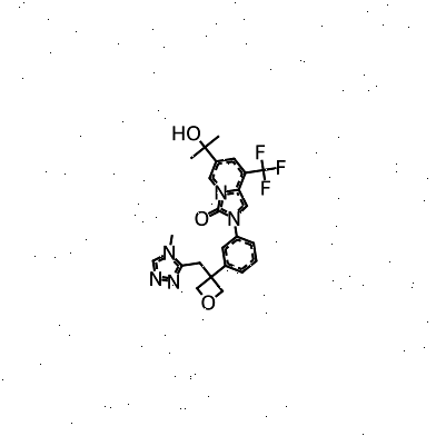 Cn1cnnc1CC1(c2cccc(-n3cc4c(C(F)(F)F)cc(C(C)(C)O)cn4c3=O)c2)COC1